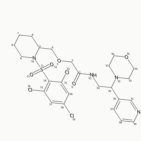 O=C(COCC1CCCCN1S(=O)(=O)c1c(Cl)cc(Cl)cc1Cl)NCC(c1cccnc1)N1CCOCC1